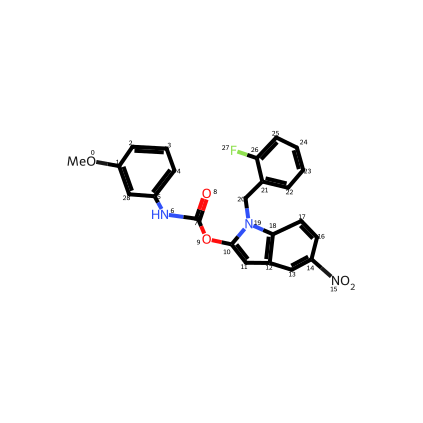 COc1cccc(NC(=O)Oc2cc3cc([N+](=O)[O-])ccc3n2Cc2ccccc2F)c1